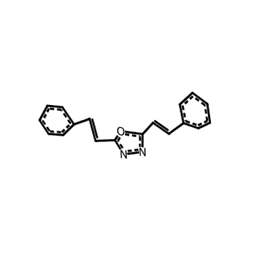 C(=Cc1nnc(C=Cc2ccccc2)o1)c1ccccc1